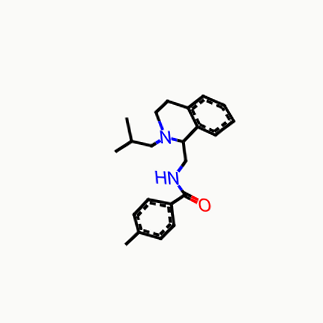 Cc1ccc(C(=O)NCC2c3ccccc3CCN2CC(C)C)cc1